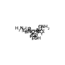 NC(=O)c1cccc2cn(-c3ccc(NC(=O)[C@H]4CC[C@H](N)C4)cc3)nc12.O=C(O)C(F)(F)F